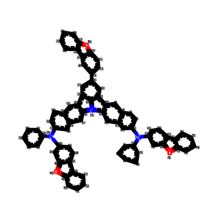 c1ccc(N(c2ccc3cc4c5cc(-c6ccc7oc8ccccc8c7c6)cc6c7cc8ccc(N(c9ccccc9)c9ccc%10c(c9)oc9ccccc9%10)cc8cc7n(c4cc3c2)c56)c2ccc3c(c2)oc2ccccc23)cc1